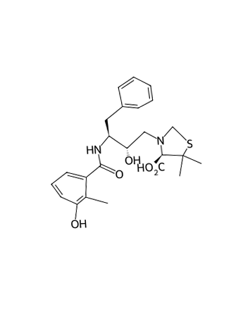 Cc1c(O)cccc1C(=O)N[C@@H](Cc1ccccc1)[C@@H](O)CN1CSC(C)(C)[C@H]1C(=O)O